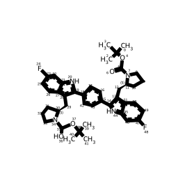 CC(C)(C)OC(=O)N1CCC[C@H]1Cc1c(-c2ccc(-c3[nH]c4cc(F)ccc4c3C[C@@H]3CCCN3C(O)OC(C)(C)C)cc2)[nH]c2cc(F)ccc12